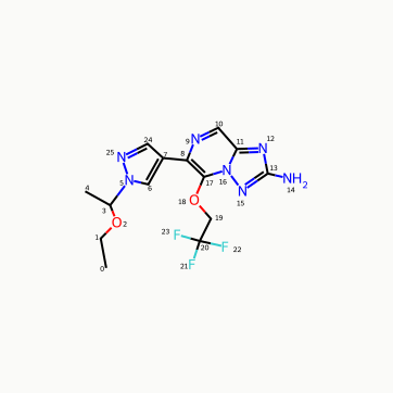 CCOC(C)n1cc(-c2ncc3nc(N)nn3c2OCC(F)(F)F)cn1